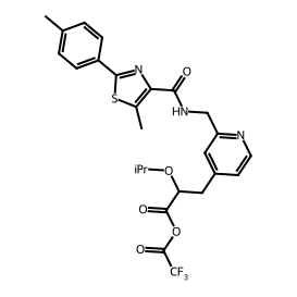 Cc1ccc(-c2nc(C(=O)NCc3cc(CC(OC(C)C)C(=O)OC(=O)C(F)(F)F)ccn3)c(C)s2)cc1